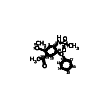 COc1cc(NS(C)(=O)=O)c(Oc2ccccc2)cc1C(C)=O